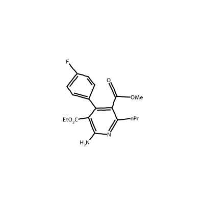 CCCc1nc(N)c(C(=O)OCC)c(-c2ccc(F)cc2)c1C(=O)OC